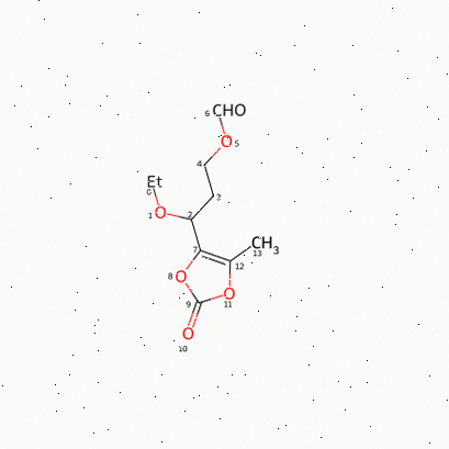 CCOC(CCOC=O)c1oc(=O)oc1C